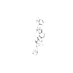 Cc1cccc(Cn2cc3c(n2)-c2c(oc(C(=O)NCCN4CCCC4)c2C)CC3)n1